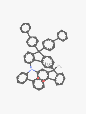 CC1(C)c2ccccc2-c2ccc(N(c3ccccc3-c3ccccc3)c3cccc4c3-c3ccccc3C4(c3ccc(-c4ccccc4)cc3)c3ccc(-c4ccccc4)cc3)cc21